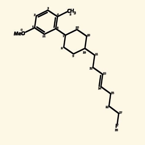 COc1ccc(C)c(C2CCC(CC/C=C/CCCF)CC2)c1